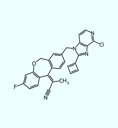 C/C(C#N)=C1\c2ccc(Cn3c(C4=CC=C4)nc4c(Cl)nccc43)cc2COc2cc(F)ccc21